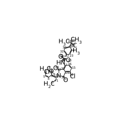 C=C/C(=C(\C=C/C)OC)N1C(=O)c2c(Cl)ccc(NS(=O)(=O)c3ccc(C(C)(C)C)cc3)c2C1=O